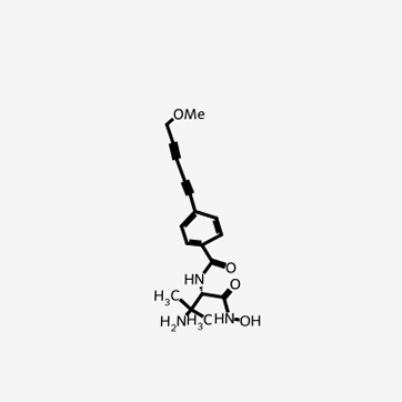 COCC#CC#Cc1ccc(C(=O)N[C@H](C(=O)NO)C(C)(C)N)cc1